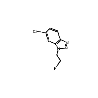 FCCn1nnc2ccc(Cl)nc21